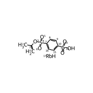 C=C(C)OS(=O)(=O)c1ccc(S(=O)(=O)O)cc1.[RbH]